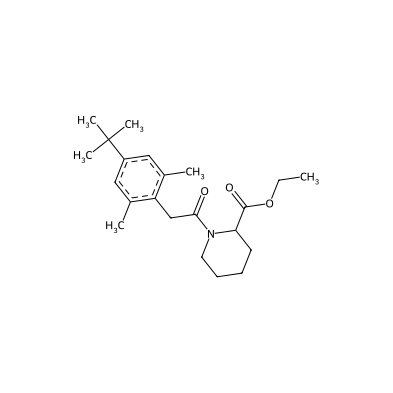 CCOC(=O)C1CCCCN1C(=O)Cc1c(C)cc(C(C)(C)C)cc1C